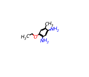 CCOc1cc(C)c(N)cc1N